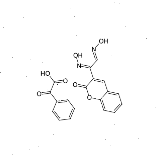 O=C(O)C(=O)c1ccccc1.O=c1oc2ccccc2cc1C(C=NO)=NO